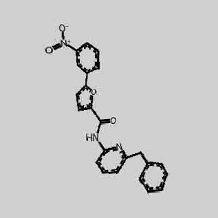 O=C(Nc1cccc(Cc2ccccc2)n1)c1ccc(-c2cccc([N+](=O)[O-])c2)o1